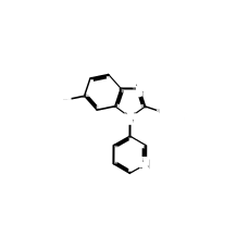 Cc1nc2ccc(F)cc2n1-c1cccnc1